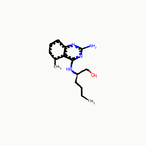 CCCC[C@H](CO)Nc1nc(N)nc2cccc(C)c12